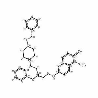 Cn1c(=O)ccc2cc(OCCN(CCN3CCC(OCc4cccnc4)CC3)Cc3cccnc3)ccc21